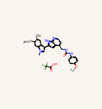 COc1cc2c(-c3cc4c(CNC(=O)Nc5ccc(OC(F)(F)F)cc5)ccnc4[nH]3)cn(C)c2cc1OC.O=C(O)C(F)(F)F